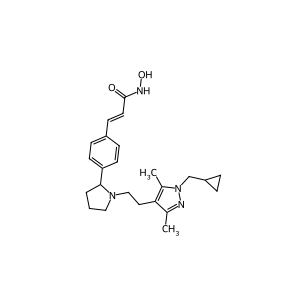 Cc1nn(CC2CC2)c(C)c1CCN1CCCC1c1ccc(/C=C/C(=O)NO)cc1